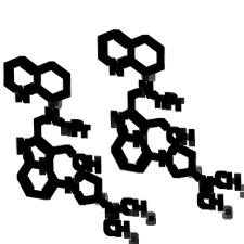 CCCN(Cc1nc2cccc(N3CC[C@@H](N(C)C)C3)n2c1CO)[C@H]1CCCc2cccnc21.CCCN(Cc1nc2cccc(N3CC[C@@H](N(C)C)C3)n2c1CO)[C@H]1CCCc2cccnc21